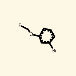 FCOc1cccc(Br)c1